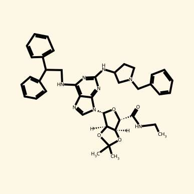 CCNC(=O)[C@H]1O[C@@H](n2cnc3c(NCC(c4ccccc4)c4ccccc4)nc(NC4CCN(Cc5ccccc5)C4)nc32)[C@@H]2OC(C)(C)O[C@@H]21